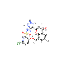 Cc1cc([C@@H](C)Oc2ccc(Cl)nc2S(N)(=O)=O)c2oc(-c3cn(C)nn3)c(C)c(=O)c2c1